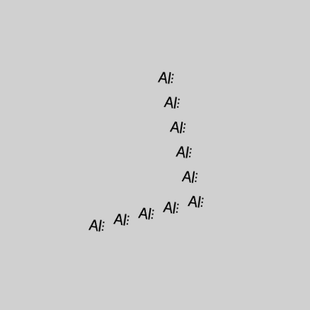 [Al].[Al].[Al].[Al].[Al].[Al].[Al].[Al].[Al].[Al]